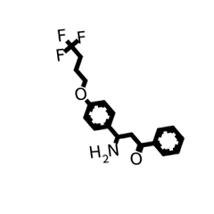 NC(CC(=O)c1ccccc1)c1ccc(OCCCC(F)(F)F)cc1